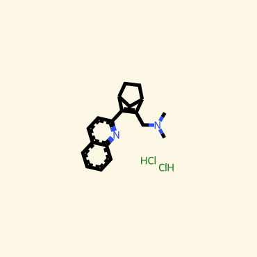 CN(C)CC1=C(c2ccc3ccccc3n2)C2CCC1C2.Cl.Cl